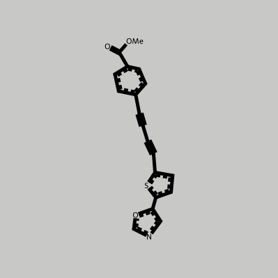 COC(=O)c1ccc(C#CC#Cc2ccc(-c3cnco3)s2)cc1